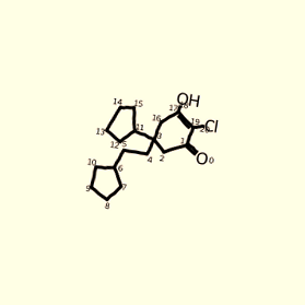 O=C1CC(CCC2CCCC2)(C2CCCC2)CC(O)=C1Cl